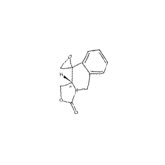 O=C1OC[C@H]2N1Cc1ccccc1C21CO1